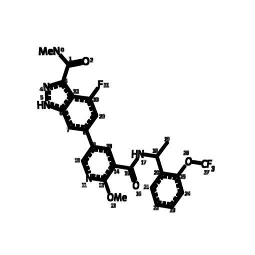 CNC(=O)c1n[nH]c2cc(-c3cnc(OC)c(C(=O)NC(C)c4ccccc4OC(F)(F)F)c3)cc(F)c12